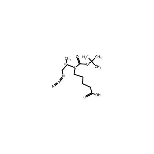 C[C@H](CN=[N+]=[N-])N(CCCCC(=O)O)C(=O)OC(C)(C)C